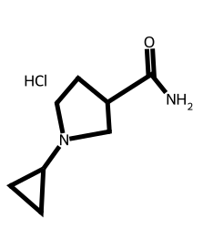 Cl.NC(=O)C1CCN(C2CC2)C1